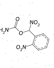 NC(=O)OC(c1ccccc1[N+](=O)[O-])[N+](=O)[O-]